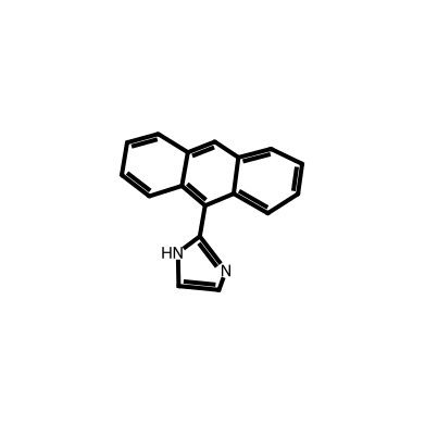 c1ccc2c(-c3ncc[nH]3)c3ccccc3cc2c1